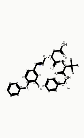 C[C@@H](NC(=O)[C@@H](NC(=O)[C@H](C/C=C/c1ccc(Oc2ccccc2)c(F)c1)CC(=O)O)C(C)(C)C)c1ccccc1